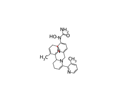 CC1=CCCN=C1C1CCC=C(c2ncccc2C)N1Cc1ccc(N(O)C(N)=O)cc1